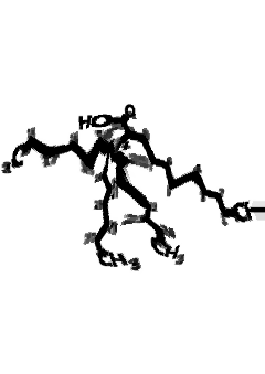 CCCCCCCCCC(C(=O)O)[N+](CCCCCC)(CCCCCC)CCCCCC